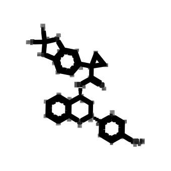 O=C(O)c1ccc([C@H]2C[C@@H](NC(=O)C3(c4ccc5c(c4)OC(F)(F)O5)CC3)c3ccccc3O2)nc1